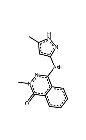 Cc1cc([AsH]c2nn(C)c(=O)c3ccccc23)n[nH]1